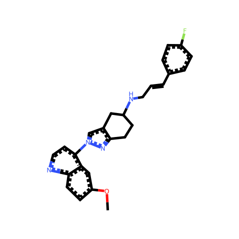 COc1ccc2nccc(-n3cc4c(n3)CCC(NCC=Cc3ccc(F)cc3)C4)c2c1